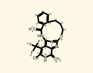 C=C1Nc2nc(nc3c2C(C(F)(F)F)=C(Cl)NC3=C)OCCCc2ccccc21